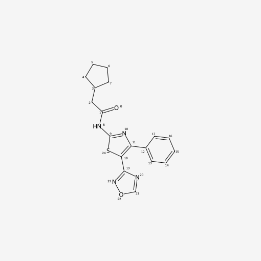 O=C(CC1CCCC1)Nc1nc(-c2ccccc2)c(-c2ncon2)s1